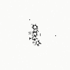 Cc1ccc2nc(NC(=O)C[C@](C)(O)C3=CCC=C3)n(C(C)(C)C)c2n1